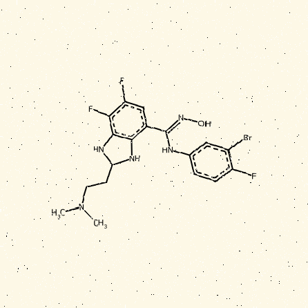 CN(C)CCC1Nc2c(/C(=N/O)Nc3ccc(F)c(Br)c3)cc(F)c(F)c2N1